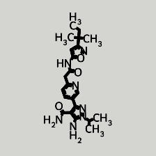 CCC(C)(C)c1cc(NC(=O)Cc2ccc(-c3nn(C(C)C)c(N)c3C(N)=O)cn2)on1